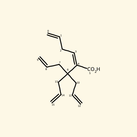 C=CCC=C(C(=O)O)C(CC=C)(CC=C)CC=C